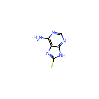 Nc1ncnc2[nH]c(F)nc12